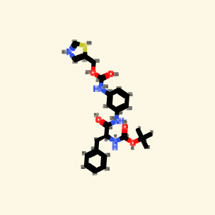 CC(C)(C)OC(=O)N[C@@H](Cc1ccccc1)C(=O)Nc1cccc(NC(=O)OCc2cncs2)c1